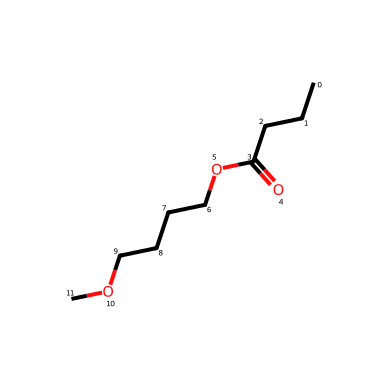 CCCC(=O)OCCCCOC